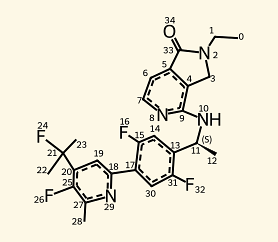 CCN1Cc2c(ccnc2N[C@@H](C)c2cc(F)c(-c3cc(C(C)(C)F)c(F)c(C)n3)cc2F)C1=O